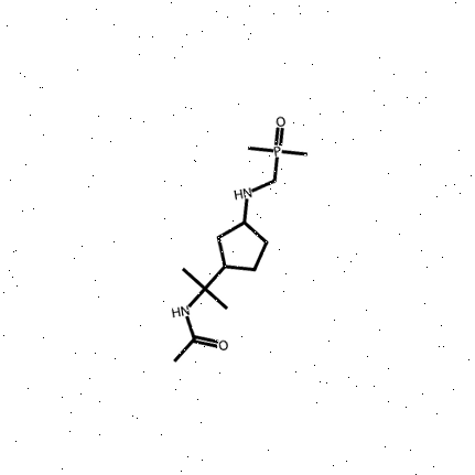 CC(=O)NC(C)(C)C1CCC(NCP(C)(C)=O)C1